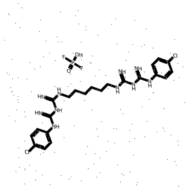 N=C(NCCCCCCNC(=N)NC(=N)Nc1ccc(Cl)cc1)NC(=N)Nc1ccc(Cl)cc1.O=P(O)(F)F